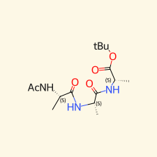 CC(=O)N[C@@H](C)C(=O)N[C@@H](C)C(=O)N[C@@H](C)C(=O)OC(C)(C)C